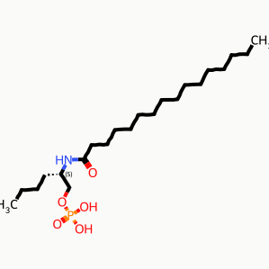 CCCCCCCCCCCCCCCC(=O)N[C@@H](CCCC)COP(=O)(O)O